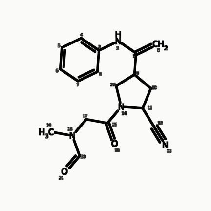 C=C(Nc1ccccc1)C1CC(C#N)N(C(=O)CN(C)C=O)C1